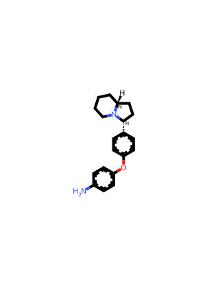 Nc1ccc(Oc2ccc([C@H]3CC[C@H]4CCCCN43)cc2)cc1